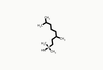 CC(C)CCCC(C)CC[Si](C)(C)[NH]